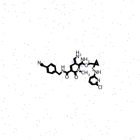 Cn1c(=O)c(C(=O)NCc2ccc(C#N)cc2)cc(=C/N)/c1=C(\N)OCC1(SNc2cccc(Cl)n2)CC1